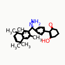 Cc1cc2c(cc1/C(=N/N)c1ccc(C3=C(O)CCCC3=O)cc1)C(C)(C)C=CC2(C)C